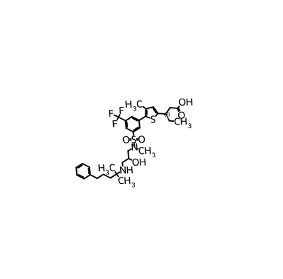 CC[C@H](CC(=O)O)c1cc(C)c(-c2cc(C(F)(F)F)cc(S(=O)(=O)N(C)CC(O)CNC(C)(C)CCCc3ccccc3)c2)s1